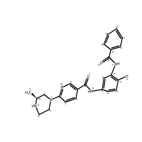 C[C@H]1CN(c2ccc(C(=O)Nc3ccc(Cl)c(NC(=O)c4ccccc4)c3)cn2)CCN1